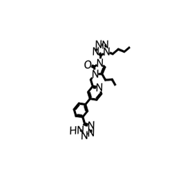 CCCCn1nnnc1-n1cc(CCC)n(Cc2cc(-c3cccc(-c4nnn[nH]4)c3)ccn2)c1=O